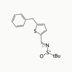 CC(C)(C)[S+]([O-])/N=C/c1ccc(Cc2ccccc2)s1